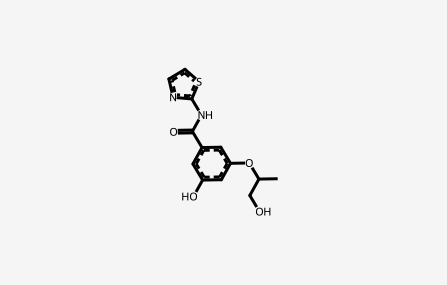 CC(CO)Oc1cc(O)cc(C(=O)Nc2nccs2)c1